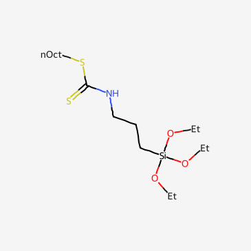 CCCCCCCCSC(=S)NCCC[Si](OCC)(OCC)OCC